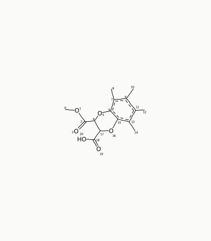 COC(=O)C1Oc2c(C)c(C)c(C)c(C)c2OC1C(=O)O